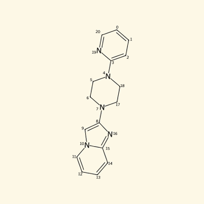 c1ccc(N2CCN(c3cn4ccccc4n3)CC2)nc1